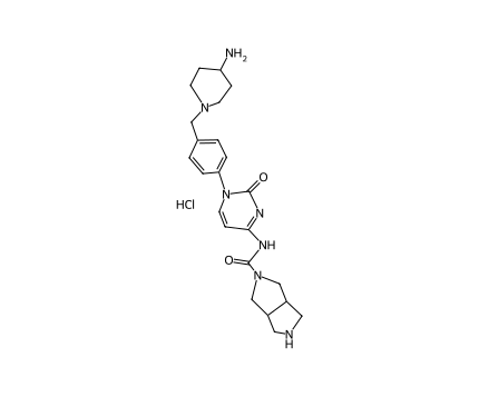 Cl.NC1CCN(Cc2ccc(-n3ccc(NC(=O)N4CC5CNCC5C4)nc3=O)cc2)CC1